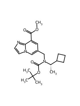 COC(=O)c1cc(CN(C(=O)OC(C)(C)C)[C@@H](C)C2CCC2)cn2ccnc12